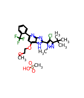 COCCOc1cc(-c2ccccc2C(F)(F)F)nc2nc(-c3c(Cl)c(C(C)(C)C)nn3C)[nH]c12.CS(=O)(=O)O